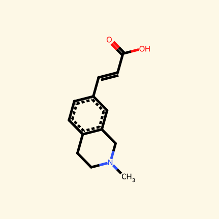 CN1CCc2ccc(C=CC(=O)O)cc2C1